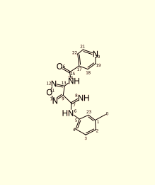 Cc1cccc(NC(=N)c2nonc2NC(=O)c2ccncc2)c1